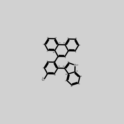 Clc1ccc(-c2cc3ccccc3c3ccccc23)c(-c2coc3ccccc23)c1